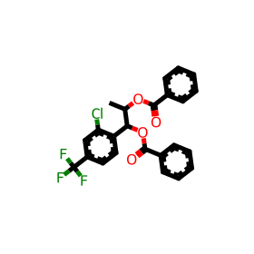 CC(OC(=O)c1ccccc1)C(OC(=O)c1ccccc1)c1ccc(C(F)(F)F)cc1Cl